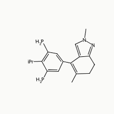 CC1=C(c2cc(P)c(C(C)C)c(P)c2)c2cn(C)nc2CC1